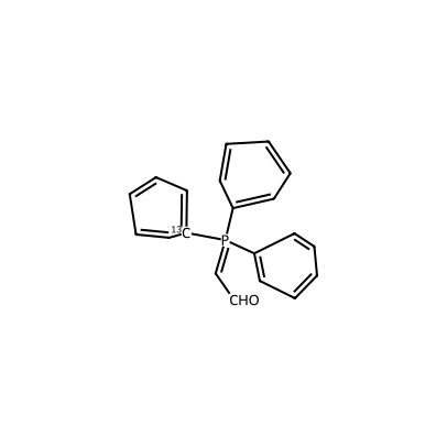 O=CC=P(c1ccccc1)(c1ccccc1)[13c]1ccccc1